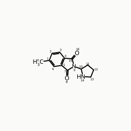 Cc1ccc2c(c1)C(=O)N(C1CCCN1)C2=O